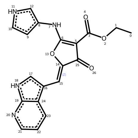 CCOC(=O)C1=C(Nc2cc[nH]c2)O/C(=C\c2c[nH]c3ncccc23)C1=O